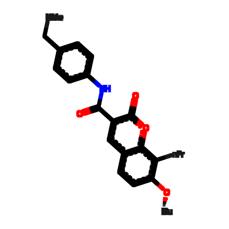 CCCc1c(O[C@@H](C)CC)ccc2cc(C(=O)Nc3ccc(CNC)cc3)c(=O)oc12